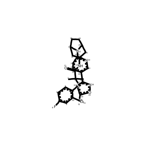 CC(C)(Oc1ccc(F)cc1Cl)C(=O)NC1CC2CCC(C1)N2c1ccc(-c2noc(C(F)(F)F)n2)cn1